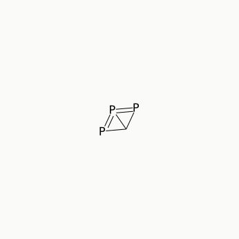 P1=P2=PC12